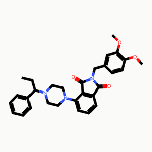 CCC(c1ccccc1)N1CCN(c2cccc3c2C(=O)N(Cc2ccc(OC)c(OC)c2)C3=O)CC1